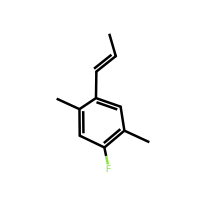 C/C=C/c1cc(C)c(F)cc1C